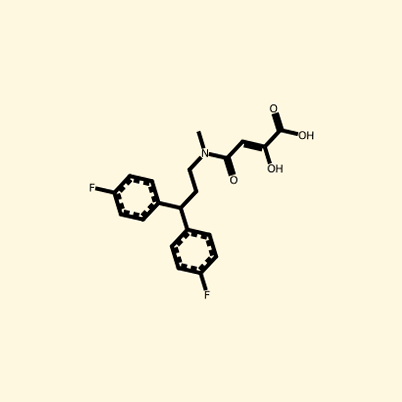 CN(CCC(c1ccc(F)cc1)c1ccc(F)cc1)C(=O)C=C(O)C(=O)O